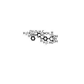 Cc1cc(Nc2ncc(Cl)c(Nc3ccccc3S(=O)(=O)C(C)C)n2)c(OC(C)C)cc1C1CC(O)(O)NC(O)(O)C1